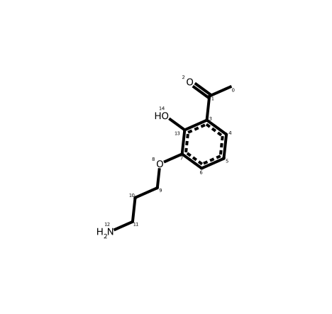 CC(=O)c1cccc(OCCCN)c1O